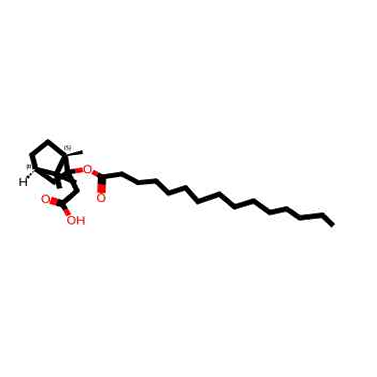 CCCCCCCCCCCCCCC(=O)OC1(CC(=O)O)C[C@H]2CC[C@@]1(C)C2(C)C